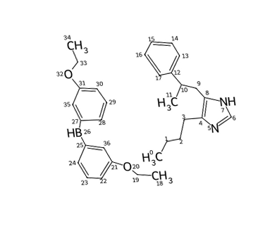 CCCCc1nc[nH]c1CC(C)c1ccccc1.CCOc1cccc(Bc2cccc(OCC)c2)c1